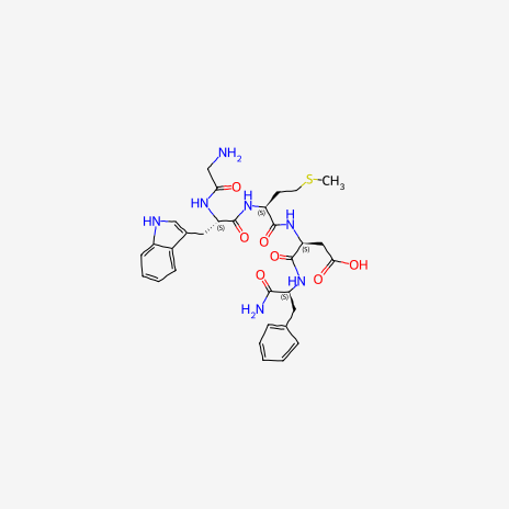 CSCC[C@H](NC(=O)[C@H](Cc1c[nH]c2ccccc12)NC(=O)CN)C(=O)N[C@@H](CC(=O)O)C(=O)N[C@@H](Cc1ccccc1)C(N)=O